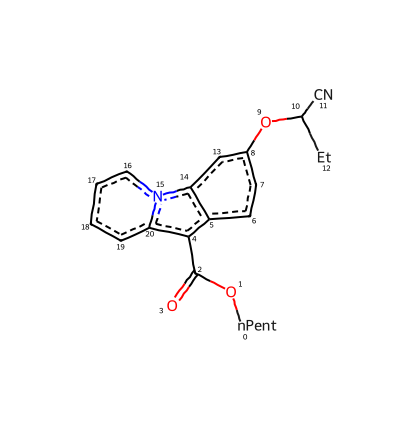 CCCCCOC(=O)c1c2ccc(OC(C#N)CC)cc2n2ccccc12